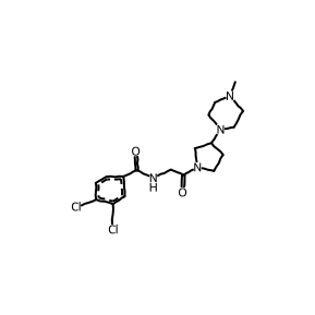 CN1CCN(C2CCN(C(=O)CNC(=O)c3ccc(Cl)c(Cl)c3)C2)CC1